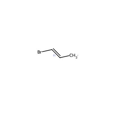 [CH2]/C=C/Br